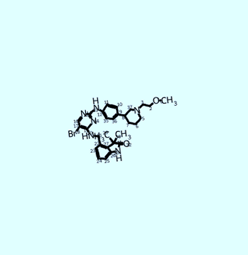 COCCN1CCCC(c2ccc(Nc3ncc(Br)c(NCc4cccc5c4C(C)(C)C(=O)N5)n3)cc2)C1